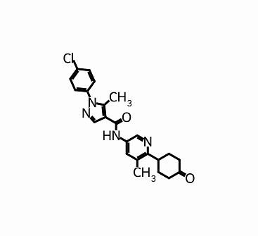 Cc1cc(NC(=O)c2cnn(-c3ccc(Cl)cc3)c2C)cnc1C1CCC(=O)CC1